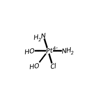 [NH2][Pt-4]([NH2])([OH])([OH])[Cl]